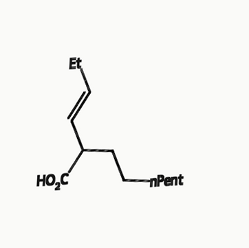 CCC=CC(CCCCCCC)C(=O)O